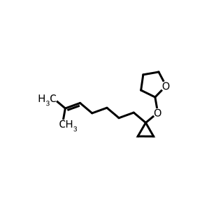 CC(C)=CCCCCC1(OC2CCCO2)CC1